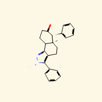 Cn1nc2c(c1-c1ccccc1)CC[C@H]1[C@H](c3ccccc3)C(=O)CC[C@]21C